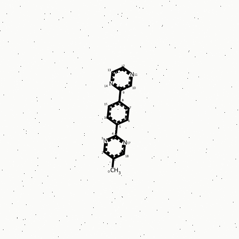 Cc1cnc(-c2ccc(-c3cnccn3)cc2)nc1